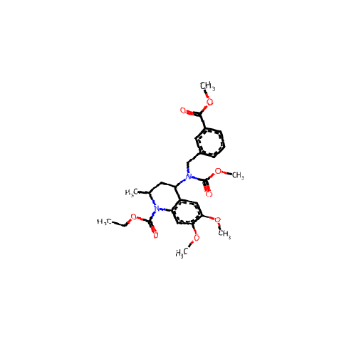 CCOC(=O)N1c2cc(OC)c(OC)cc2C(N(Cc2cccc(C(=O)OC)c2)C(=O)OC)CC1C